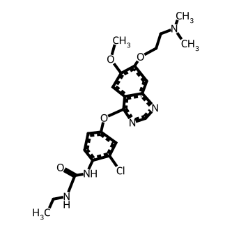 CCNC(=O)Nc1ccc(Oc2ncnc3cc(OCCN(C)C)c(OC)cc23)cc1Cl